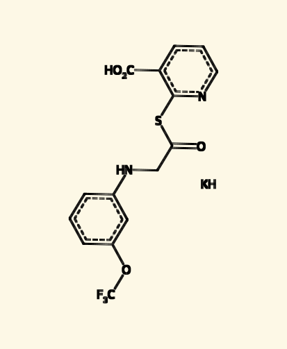 O=C(CNc1cccc(OC(F)(F)F)c1)Sc1ncccc1C(=O)O.[KH]